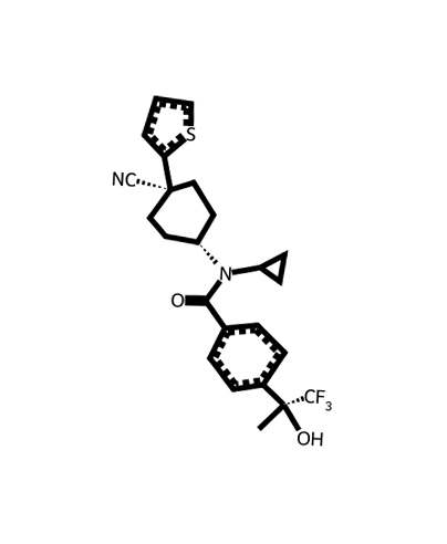 C[C@](O)(c1ccc(C(=O)N(C2CC2)[C@H]2CC[C@](C#N)(c3cccs3)CC2)cc1)C(F)(F)F